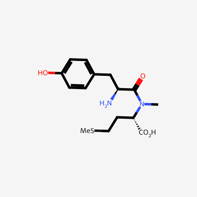 CSCC[C@@H](C(=O)O)N(C)C(=O)[C@@H](N)Cc1ccc(O)cc1